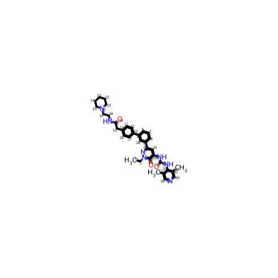 CCn1nc(-c2cccc(-c3ccc(CC(=O)NCCN4CCCCC4)cc3)c2)cc(NC(=O)Nc2c(C)cncc2C)c1=O